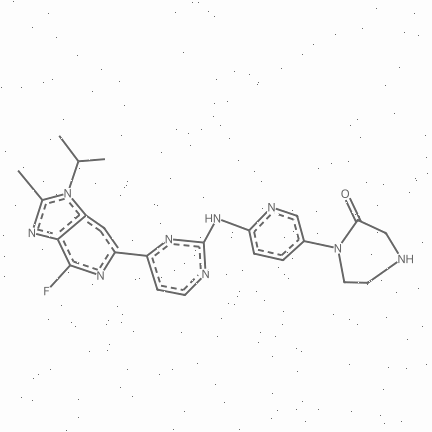 Cc1nc2c(F)nc(-c3ccnc(Nc4ccc(N5CCNCC5=O)cn4)n3)cc2n1C(C)C